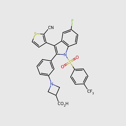 N#Cc1sccc1-c1c(-c2cccc(N3CC(C(=O)O)C3)c2)n(S(=O)(=O)c2ccc(C(F)(F)F)cc2)c2ccc(F)cc12